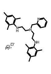 Cc1cc(C)c(NCCN(CCNc2c(C)cc(C)cc2C)Cc2ccccn2)c(C)c1.[Cl-].[Cl-].[Pt+2]